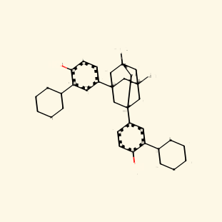 CC(C)C12CC3(c4ccc(O)c(C5CCCCC5)c4)CC(c4ccc(O)c(C5CCCCC5)c4)(C1)CC(C(C)(C)C)(C3)C2